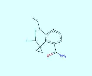 CCCc1cccc(C(N)=O)c1C1(C(F)F)CC1